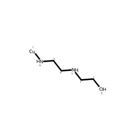 OCCNCC[NH][Cu]